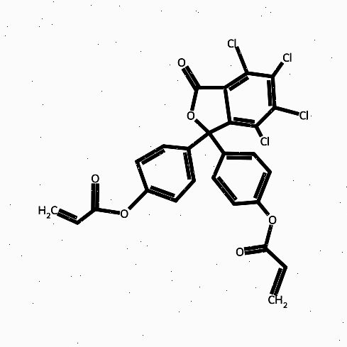 C=CC(=O)Oc1ccc(C2(c3ccc(OC(=O)C=C)cc3)OC(=O)c3c(Cl)c(Cl)c(Cl)c(Cl)c32)cc1